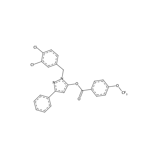 O=C(Oc1cc(-c2ccccc2)nn1Cc1ccc(Cl)c(Cl)c1)c1ccc(OC(F)(F)F)cc1